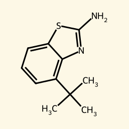 CC(C)(C)c1cccc2sc(N)nc12